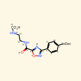 CCCCCCCCCCc1ccc(-c2noc(C(=O)NCCNC(=O)O)n2)cc1